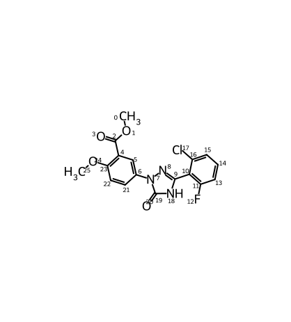 COC(=O)c1cc(-n2nc(-c3c(F)cccc3Cl)[nH]c2=O)ccc1OC